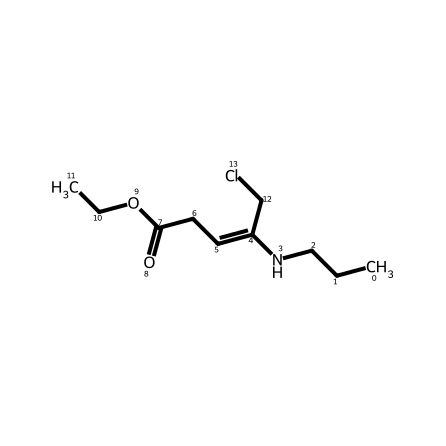 CCCNC(=CCC(=O)OCC)CCl